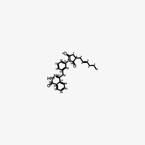 CCCC=CCC1CC(=O)N(c2cccc(Cc3n[nH]c(=O)c4ccccc34)c2)C1=O